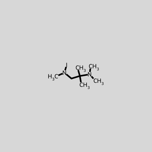 CN(I)CC(C)(C)N(C)C